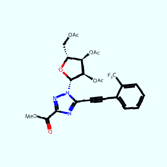 COC(=O)c1nc(C#Cc2ccccc2C(F)(F)F)n([C@@H]2O[C@H](COC(C)=O)[C@@H](OC(C)=O)[C@H]2OC(C)=O)n1